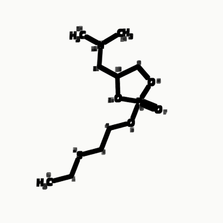 CCSCCOP1(=O)OCC(CN(C)C)O1